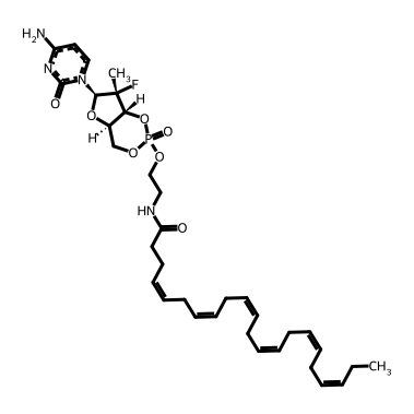 CC/C=C\C/C=C\C/C=C\C/C=C\C/C=C\C/C=C\CCC(=O)NCCOP1(=O)OC[C@H]2O[C@@H](n3ccc(N)nc3=O)[C@](C)(F)[C@@H]2O1